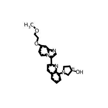 COCCOc1ccn2c(-c3ccc4cccc(N5CC[C@@H](O)C5)c4n3)cnc2c1